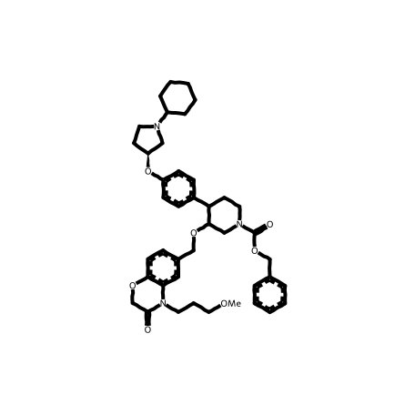 COCCCN1C(=O)COc2ccc(COC3CN(C(=O)OCc4ccccc4)CCC3c3ccc(O[C@H]4CCN(C5CCCCC5)C4)cc3)cc21